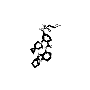 O=C(Nc1cccc2c1nc1n2C2CCC1C2)c1ccc(NS(=O)(=O)CCO)cc1N1CCC2(CC1)CC2